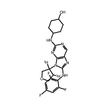 [2H]C1COCC1([2H])n1c(Nc2c(F)cc(F)cc2F)nc2cnc(NC3CCC(O)CC3)nc21